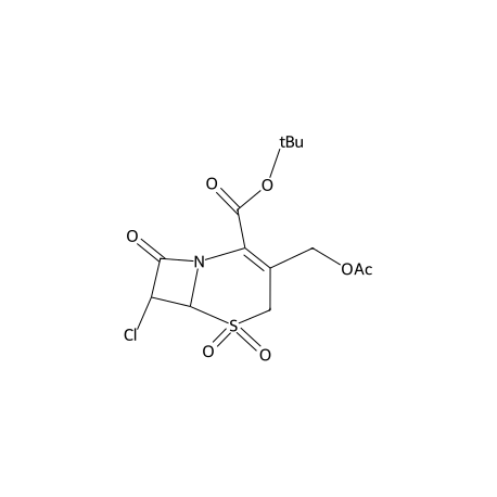 CC(=O)OCC1=C(C(=O)OC(C)(C)C)N2C(=O)C(Cl)C2S(=O)(=O)C1